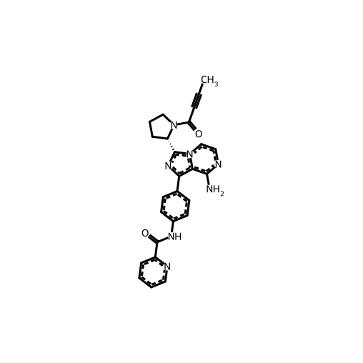 CC#CC(=O)N1CCC[C@H]1c1nc(-c2ccc(NC(=O)c3ccccn3)cc2)c2c(N)nccn12